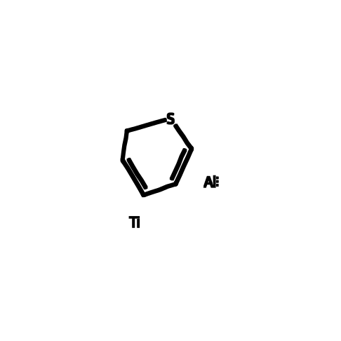 C1=CCSC=C1.[Al].[Ti]